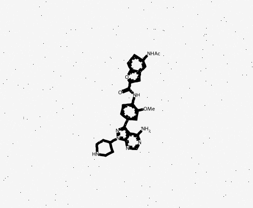 COc1cc(-c2nn(C3CCNCC3)c3ncnc(N)c23)ccc1NC(=O)c1cc2cc(NC(C)=O)ccc2o1